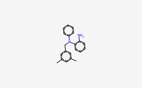 Cc1cc(C)cc(CN(c2ccccc2)c2ccccc2N)c1